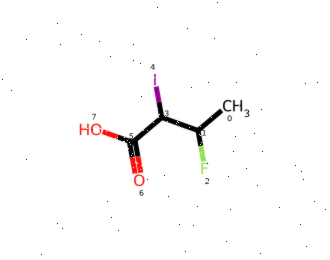 CC(F)C(I)C(=O)O